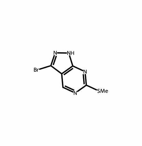 CSc1ncc2c(Br)n[nH]c2n1